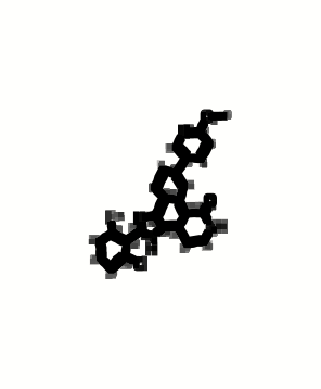 COc1ccc(-c2ccc3c(c2)c2c(=O)[nH]ccc2c2[nH]c(-c4c(F)cccc4Cl)nc32)cn1